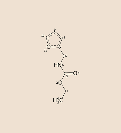 CCOC(=O)NCc1ccco1